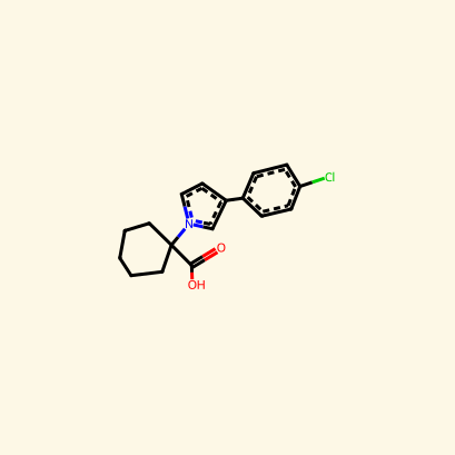 O=C(O)C1(n2ccc(-c3ccc(Cl)cc3)c2)CCCCC1